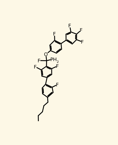 CCCCCc1ccc(-c2cc(F)c(C(F)(P)Oc3ccc(-c4cc(F)c(F)c(F)c4)c(F)c3)c(F)c2)c(F)c1